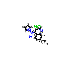 Cl.FC(F)(F)c1ccc2c(Nn3cccc3)ccnc2c1